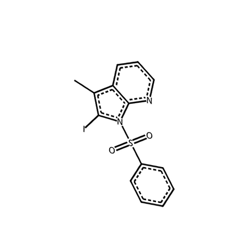 Cc1c(I)n(S(=O)(=O)c2ccccc2)c2ncccc12